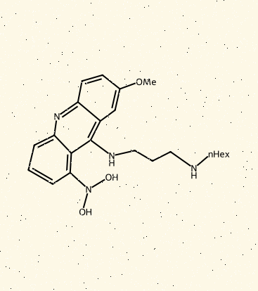 CCCCCCNCCCNc1c2cc(OC)ccc2nc2cccc(N(O)O)c12